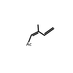 C=CC(C)=CC(C)=O